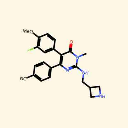 COc1ccc(-c2c(-c3ccc(C#N)cc3)nc(NCC3CNC3)n(C)c2=O)cc1F